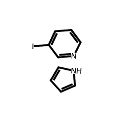 Ic1cccnc1.c1cc[nH]c1